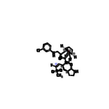 CS(=O)(=O)/C(F)=C\[C@H](C[C@@H]1CCNC1=O)NC(=O)[C@@H]1[C@@H]2CC[C@@H](CC2(F)F)N1C(=O)CNc1cccc(Cl)c1